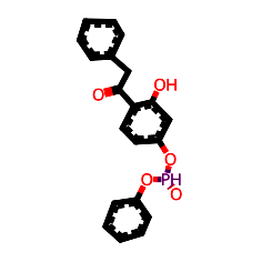 O=C(Cc1ccccc1)c1ccc(O[PH](=O)Oc2ccccc2)cc1O